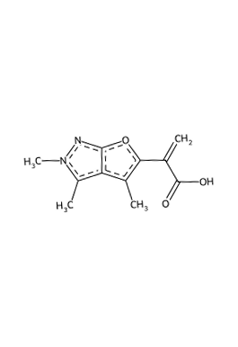 C=C(C(=O)O)c1oc2nn(C)c(C)c2c1C